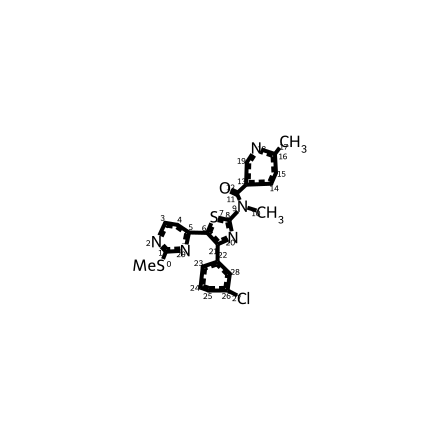 CSc1nccc(-c2sc(N(C)C(=O)c3ccc(C)nc3)nc2-c2cccc(Cl)c2)n1